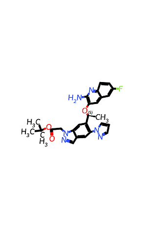 C[C@H](Oc1cc2cc(F)ccc2nc1N)c1cc2c(cnn2CC(=O)OC(C)(C)C)cc1-n1cccn1